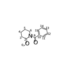 COC1CCCCN1C(=O)c1[c]cccc1